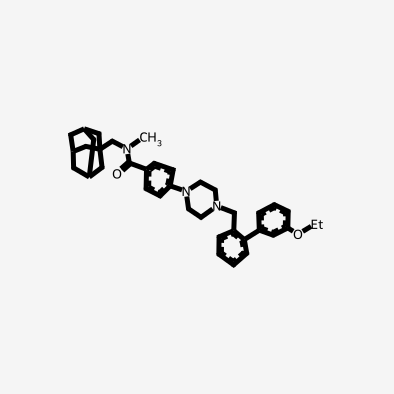 CCOc1cccc(-c2ccccc2CN2CCN(c3ccc(C(=O)N(C)CC45CC6CC(CC(C6)C4)C5)cc3)CC2)c1